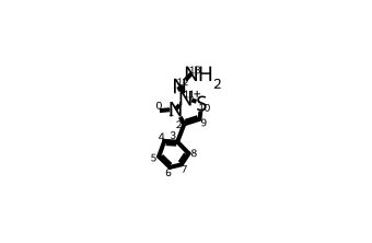 CN1C(c2ccccc2)=CS[N+]1=NN